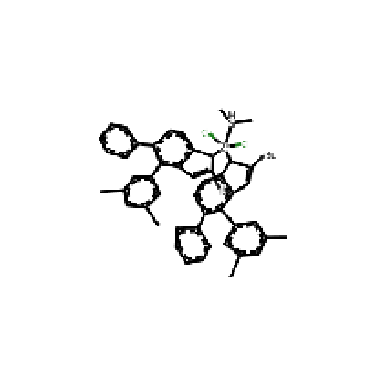 CCC(C)C1=Cc2c(ccc(-c3ccccc3)c2-c2cc(C)cc(C)c2)[CH]1[Zr]([Cl])([Cl])([CH]1C(C(C)CC)=Cc2c1ccc(-c1ccccc1)c2-c1cc(C)cc(C)c1)[SiH](C)C